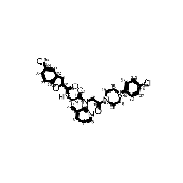 O=C(N[C@@H](Cc1cccnc1)C(=O)NCC(=O)N1CCN(c2ccc(Cl)cc2)CC1)c1cc2cc(Cl)ccc2o1